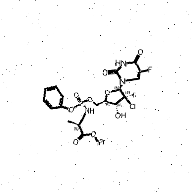 CC(C)OC(=O)[C@@H](C)NP(=O)(OC[C@H]1O[C@@H](n2cc(F)c(=O)[nH]c2=O)[C@@](F)(Cl)[C@@H]1O)Oc1ccccc1